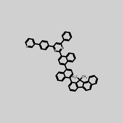 CC1(C)c2c(cccc2-c2ccc(-c3ccc(-c4nc(-c5ccccc5)cc(-c5ccc(-c6cccnc6)cc5)n4)c4ccccc34)c3ccccc23)-c2ccc3ccccc3c21